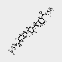 CNCCNC(=O)c1ccc2nc(-c3ccc(-c4nc5ccc(C(=O)NCCN(C)C)cc5[nH]4)cc3)[nH]c2c1